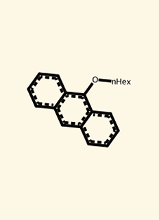 CCCCCCOc1c2ccccc2cc2ccccc12